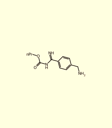 CCCOC(=O)NC(=N)c1ccc(CN)cc1